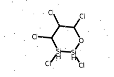 ClC1O[SiH](Cl)[SiH](Cl)C(Cl)C1Cl